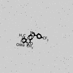 COc1ncc(C)cc1N(C)C(=O)c1cn2c(-c3ccc(C(F)(F)F)cc3)cnc2cn1